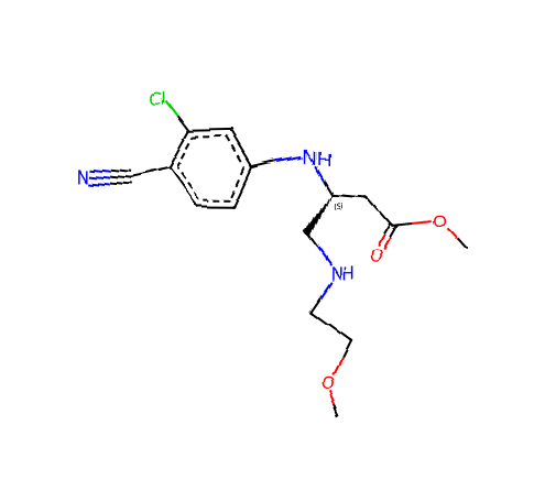 COCCNC[C@H](CC(=O)OC)Nc1ccc(C#N)c(Cl)c1